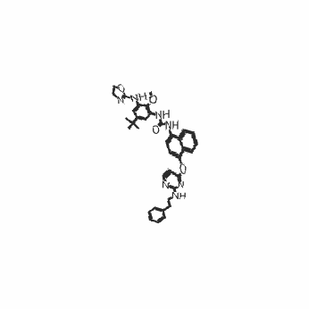 COc1c(NC(=O)Nc2ccc(Oc3ccnc(NCCc4ccccc4)n3)c3ccccc23)cc(C(C)(C)C)cc1NC1=NCCO1